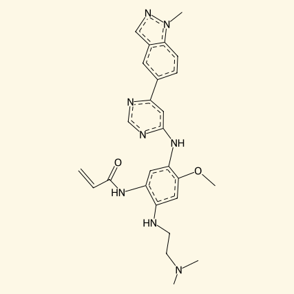 C=CC(=O)Nc1cc(Nc2cc(-c3ccc4c(cnn4C)c3)ncn2)c(OC)cc1NCCN(C)C